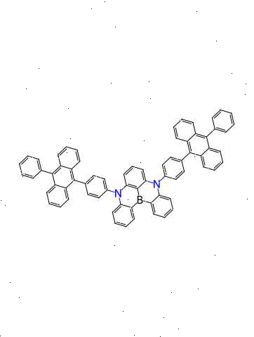 c1ccc(-c2c3ccccc3c(-c3ccc(N4c5ccccc5B5c6ccccc6N(c6ccc(-c7c8ccccc8c(-c8ccccc8)c8ccccc78)cc6)c6cccc4c65)cc3)c3ccccc23)cc1